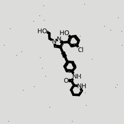 O=C(Nc1ccc(C#Cc2cn(CCO)nc2-c2cc(Cl)ccc2O)cc1)C1CCCCN1